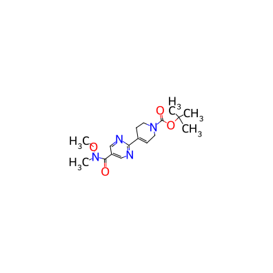 CON(C)C(=O)c1cnc(C2=CCN(C(=O)OC(C)(C)C)CC2)nc1